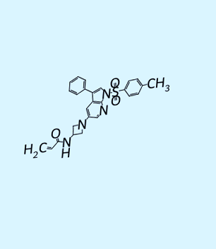 C=CC(=O)NC1CN(c2cnc3c(c2)c(-c2ccccc2)cn3S(=O)(=O)c2ccc(C)cc2)C1